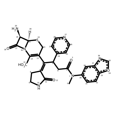 CN(C(=O)CC(C(=C1CCNC1=O)C1=C(C(=O)O)N2C(=O)[C@@H](N)[C@H]2SC1)c1ccncc1)c1ccc2ocnc2c1